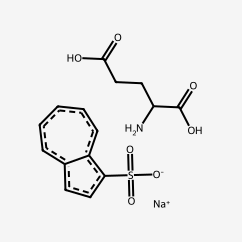 NC(CCC(=O)O)C(=O)O.O=S(=O)([O-])c1ccc2cccccc1-2.[Na+]